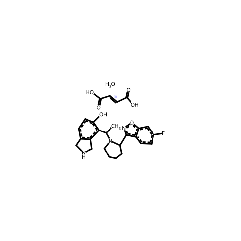 CC(c1c(O)ccc2c1CNC2)N1CCCCC1c1noc2cc(F)ccc12.O.O=C(O)/C=C/C(=O)O